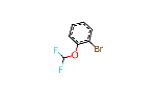 FC(F)Oc1ccc[c]c1Br